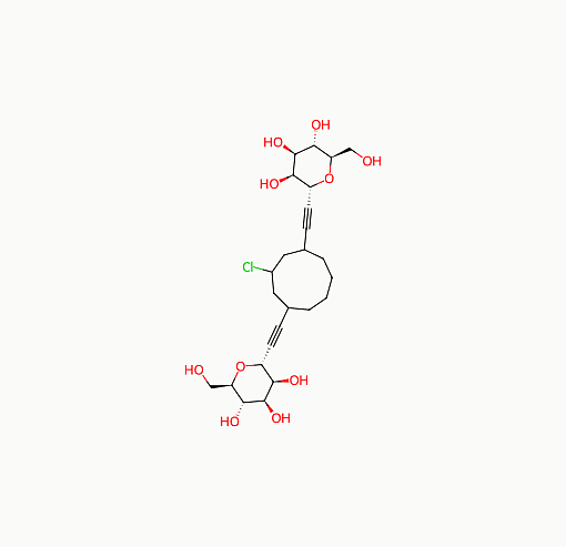 OC[C@H]1O[C@H](C#CC2CCCCC(C#C[C@H]3O[C@H](CO)[C@@H](O)[C@H](O)[C@@H]3O)CC(Cl)C2)[C@@H](O)[C@@H](O)[C@@H]1O